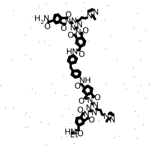 CCNC(=O)c1ccc2c(c1)C(=O)N(c1nc(CCn3ccnc3C)nc(N3C(=O)c4ccc(C(=O)Nc5ccc(Cc6ccc(NC(=O)c7ccc8c(c7)C(=O)N(c7nc(CCn9ccnc9C)nc(N9C(=O)c%10ccc(C(N)=O)cc%10C9=O)n7)C8=O)cc6)cc5)cc4C3=O)n1)C2=O